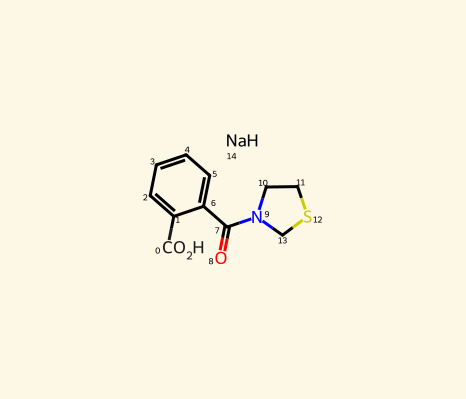 O=C(O)c1ccccc1C(=O)N1CCSC1.[NaH]